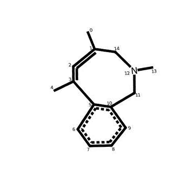 CC1=C=C(C)c2ccccc2CN(C)C1